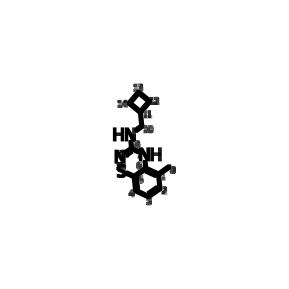 Cc1cccc2c1NC(NCC1CCC1)=NS2